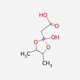 CC1O[P](O)(CC(=O)O)OC1C